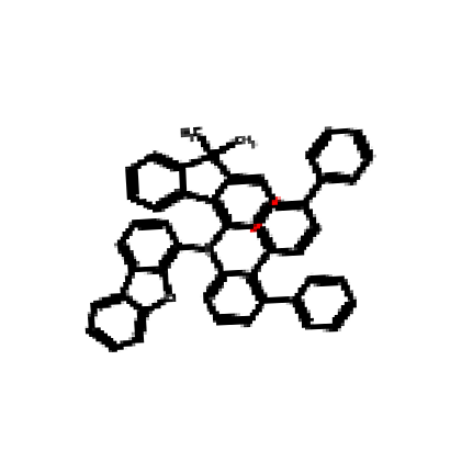 CC1(C)c2ccccc2-c2c(N(c3cccc(-c4ccccc4)c3-c3ccc(-c4ccccc4)cc3)c3cccc4c3oc3ccccc34)cccc21